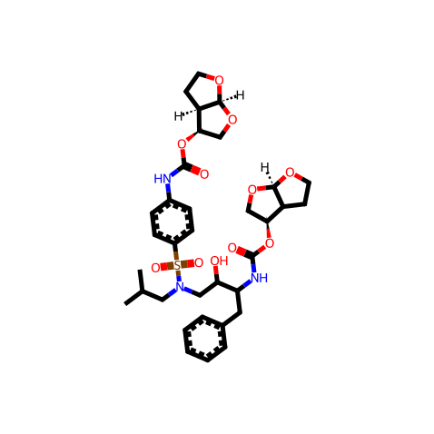 CC(C)CN(CC(O)C(Cc1ccccc1)NC(=O)O[C@H]1CO[C@H]2OCCC21)S(=O)(=O)c1ccc(NC(=O)O[C@@H]2CO[C@@H]3OCC[C@@H]32)cc1